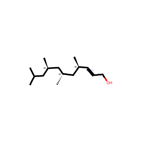 CC(C)C[C@@H](C)C[C@@H](C)C[C@@H](C)/C=C/CO